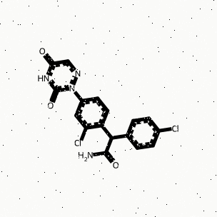 NC(=O)C(c1ccc(Cl)cc1)c1ccc(-n2ncc(=O)[nH]c2=O)cc1Cl